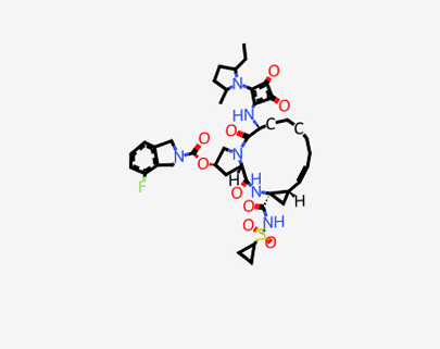 CCC1CCC(C)N1c1c(N[C@H]2CCCCC/C=C\[C@@H]3C[C@@]3(C(=O)NS(=O)(=O)C3CC3)NC(=O)[C@@H]3C[C@@H](OC(=O)N4Cc5cccc(F)c5C4)CN3C2=O)c(=O)c1=O